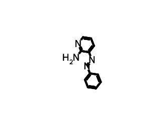 Nc1ncccc1N=Nc1ccccc1